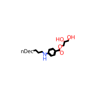 CCCCCCCCCCCCCNc1ccc(C(=O)OCC(O)CO)cc1